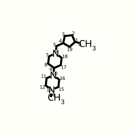 CC1CCC(CN2CCC(N3CCN(C)CC3)CC2)C1